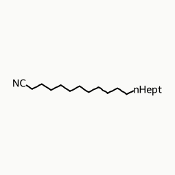 [CH2]CCCCCCCCCCCCCCCCCC#N